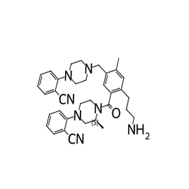 Cc1cc(CCCN)c(C(=O)N2CCN(c3ccccc3C#N)C[C@@H]2C)cc1CN1CCN(c2ccccc2C#N)CC1